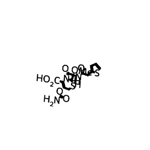 CO[C@@]1(NC(=O)Cc2cccs2)C(=O)N2C(C(=O)O)=C(OC(N)=O)CS[C@@H]21